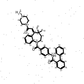 CN1CCN(C(=O)/C=C2\c3ccccc3N(C(=O)c3ccc(NC(=O)c4ccccc4-c4ccccc4)cc3)CCC2(F)F)CC1